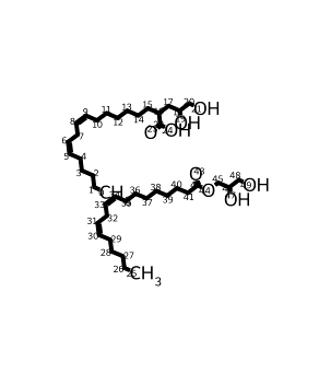 CCCCC/C=C\C/C=C\CCCCCCC(CC(O)CO)C(=O)O.CCCCC/C=C\C/C=C\CCCCCCCC(=O)OCC(O)CO